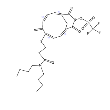 C=C1/C=C\C=C2/C/C(=C\C=C/1SCCC(=O)N(CCCC)CCCC)C(=O)N(OS(=O)(=O)C(F)(F)F)C2=O